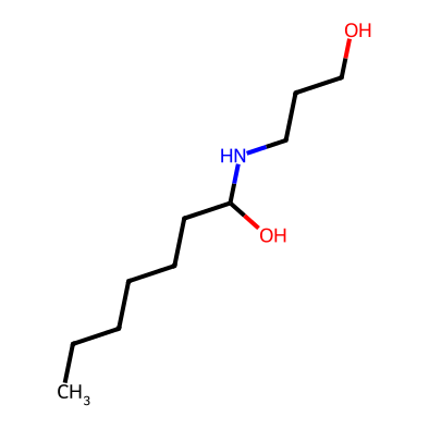 CCCCCCC(O)NCCCO